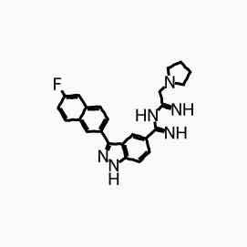 N=C(CN1CCCC1)NC(=N)c1ccc2[nH]nc(-c3ccc4cc(F)ccc4c3)c2c1